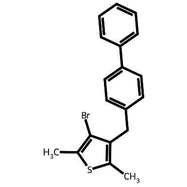 Cc1sc(C)c(Cc2ccc(-c3ccccc3)cc2)c1Br